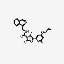 C=CCOc1cc(C)nc([C@H]2OC(=O)N(C(=O)NCc3cncc4ccccc34)[C@H]2C)c1